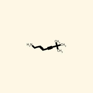 CC(C)(C)C#C/C=C/CN